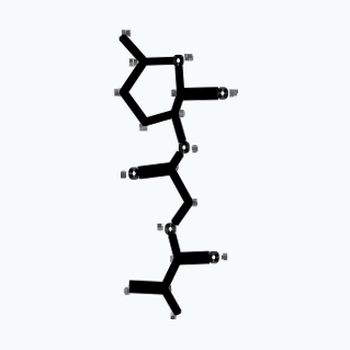 C=C(C)C(=O)OCC(=O)OC1CCC(C)OC1=O